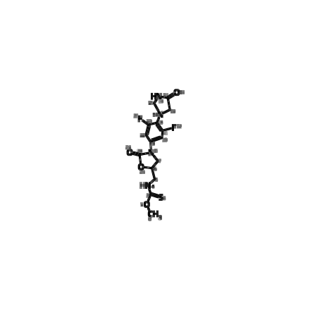 COC(=S)NCC1CN(c2cc(F)c(N3CNC(=O)C3)c(F)c2)C(=O)O1